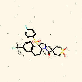 CC(=O)NC1(C(=O)N2CC[C@@]3(S(=O)(=O)c4ccc(F)cc4)c4ccc(C(F)(C(F)(F)F)C(F)(F)F)cc4CC[C@@H]23)CCS(=O)(=O)CC1